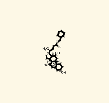 C[C@H](CCC(=O)OCc1ccccc1)[C@H]1CC[C@H]2C3[C@H](O)CC4C[C@H](O)CC[C@]4(C)[C@H]3CC(O)[C@]12C